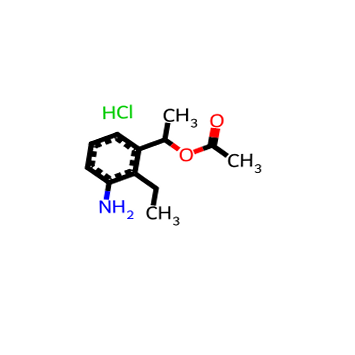 CCc1c(N)cccc1C(C)OC(C)=O.Cl